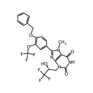 Cn1c(-c2ccc(OCc3ccccc3)c(OC(F)(F)F)c2)nc2c1c(=O)[nH]c(=O)n2C[C@H](O)C(F)(F)F